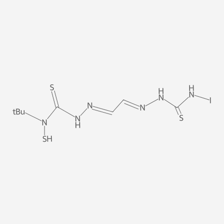 CC(C)(C)N(S)C(=S)N/N=C/C=N/NC(=S)NI